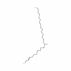 [CH2]CC=CCCCCCCCC(C)CCCCCCCCCCCCCC[CH2]